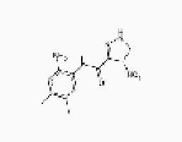 Cc1cc(N)c(NC(=O)C2=NNCC2[N+](=O)[O-])cc1C